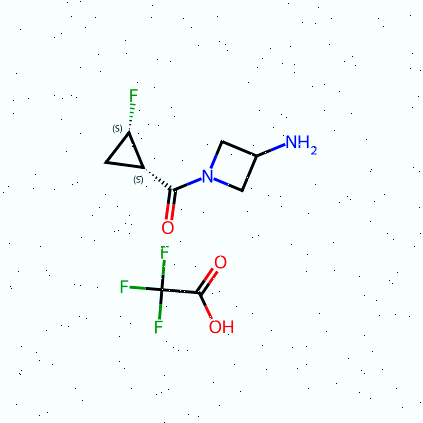 NC1CN(C(=O)[C@@H]2C[C@@H]2F)C1.O=C(O)C(F)(F)F